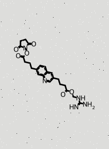 N=C(N)NCOC(=O)CCCc1cnc2cc(CCCC(=O)ON3C(=O)CCC3=O)ccc2c1